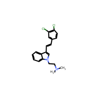 CN(C)CCn1cc(/C=C/c2ccc(Cl)c(Cl)c2)c2ccccc21